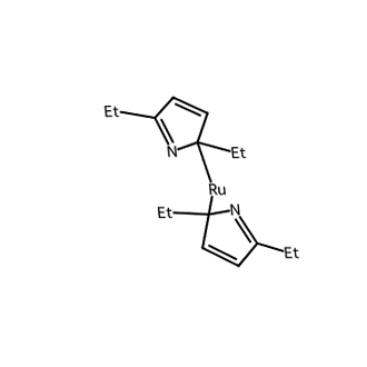 CCC1=N[C](CC)([Ru][C]2(CC)C=CC(CC)=N2)C=C1